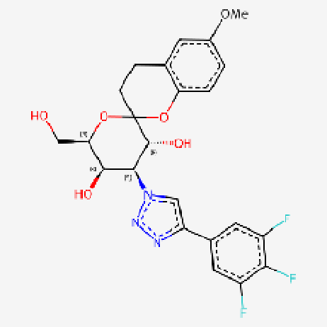 COc1ccc2c(c1)CCC1(O2)O[C@H](CO)[C@H](O)[C@H](n2cc(-c3cc(F)c(F)c(F)c3)nn2)[C@H]1O